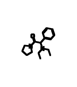 CCN(CC)C(C(=O)N1CCCC1)c1ccccc1